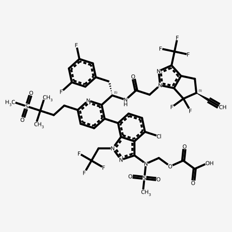 C#C[C@@H]1Cc2c(C(F)(F)F)nn(CC(=O)N[C@@H](Cc3cc(F)cc(F)c3)c3nc(CCC(C)(C)S(C)(=O)=O)ccc3-c3ccc(Cl)c4c(N(COC(=O)C(=O)O)S(C)(=O)=O)nn(CC(F)(F)F)c34)c2C1(F)F